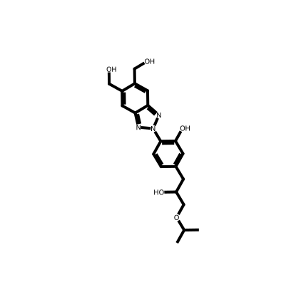 CC(C)OCC(O)Cc1ccc(-n2nc3cc(CO)c(CO)cc3n2)c(O)c1